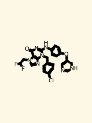 O=c1nc(Nc2ccc(OC3=CN=CNC3)cc2)n(Cc2ccc(Cl)cc2)c2ncn(CC(F)F)c12